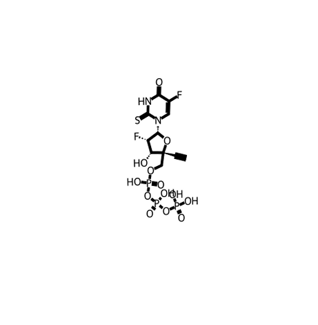 C#C[C@]1(COP(=O)(O)OP(=O)(O)OP(=O)(O)O)O[C@@H](n2cc(F)c(=O)[nH]c2=S)[C@@H](F)[C@H]1O